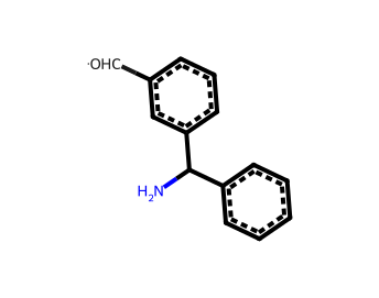 NC(c1ccccc1)c1cccc([C]=O)c1